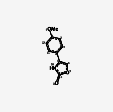 COc1ccc(-c2coc(=O)[nH]2)cc1